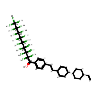 CC[C@H]1CC[C@H](C2CCC(CCc3ccc(C(=O)C(F)(F)C(F)(F)C(F)(F)C(F)(F)C(F)(F)C(F)(F)C(F)(F)C(F)(F)F)cc3)CC2)CC1